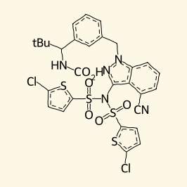 CC(C)(C)C(NC(=O)O)c1cccc(Cn2nc(N(S(=O)(=O)c3ccc(Cl)s3)S(=O)(=O)c3ccc(Cl)s3)c3c(C#N)cccc32)c1